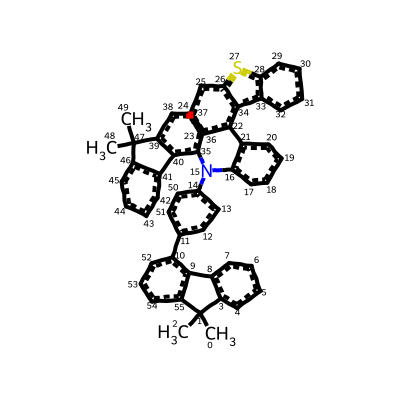 CC1(C)c2ccccc2-c2c(-c3ccc(N(c4ccccc4-c4cccc5sc6ccccc6c45)c4cccc5c4-c4ccccc4C5(C)C)cc3)cccc21